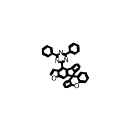 c1ccc(-c2nc(-c3ccccc3)nc(-c3c4c(cc5occc35)C3(c5ccccc5Oc5ccccc53)c3ccccc3-4)n2)cc1